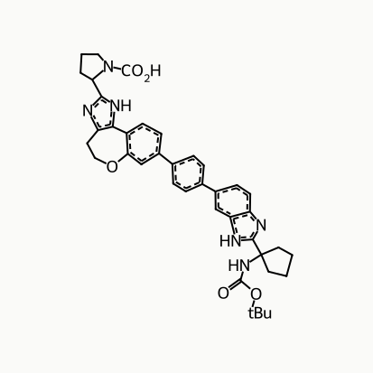 CC(C)(C)OC(=O)NC1(c2nc3ccc(-c4ccc(-c5ccc6c(c5)OCCc5nc(C7CCCN7C(=O)O)[nH]c5-6)cc4)cc3[nH]2)CCCC1